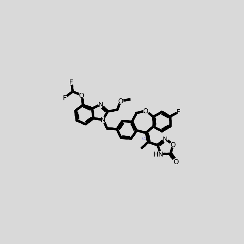 COCc1nc2c(OC(F)F)cccc2n1Cc1ccc2c(c1)COc1cc(F)ccc1/C2=C(/C)c1noc(=O)[nH]1